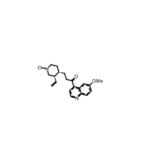 C=C[C@H]1CN(Cl)CC[C@H]1CCC(=O)c1ccnc2ccc(OC)cc12